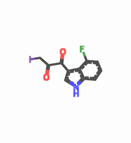 O=C(CI)C(=O)c1c[nH]c2cccc(F)c12